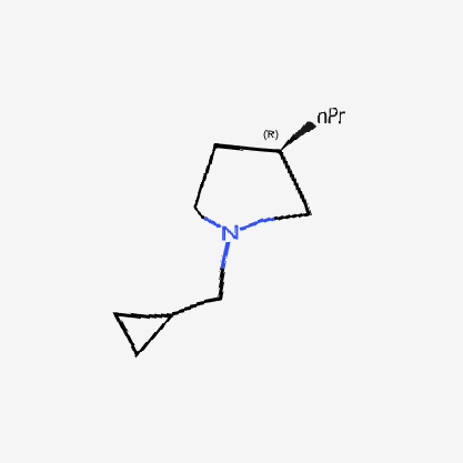 CCC[C@@H]1CCN(CC2CC2)C1